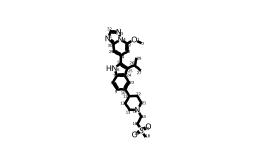 COc1cc(-c2[nH]c3ccc(C4CCN(CCS(C)(=O)=O)CC4)cc3c2C(C)C)cc2ncnn12